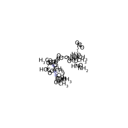 CC[C@H](O)[C@@H](C)[C@H]1O[C@@H]1C[C@@](C)(O)/C=C/C=C(\C)[C@H]1OC(=O)C[C@H](O)CC[C@@](C)(OC(C)=O)[C@@H](OC(=O)N2CCN(C(=O)OCc3ccc(NC(=O)[C@H](CCCCNC(N)=O)NC(=O)[C@@H](NC(=O)CCCCCN4C(=O)C=CC4=O)C(C)C)cc3)CC2)/C=C/[C@@H]1C